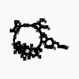 C=C1C[C@@H]2CC[C@@]34C[C@H]5O[C@H]6[C@@H](O3)[C@H]3O[C@H](CC[C@@H]3O[C@H]6[C@H]5O4)CC(=O)CC3[C@@H](OC)C(C[C@H](O)CN=[N+]=[N-])O[C@H]3C[C@H]3OC(CCC1O2)C[C@@H](C)C3=C